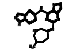 CC1CC/C(=N/c2nc(Nc3ccc4[nH]ncc4c3)c3sccc3n2)CNC1